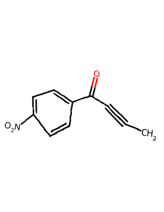 CC#CC(=O)c1ccc([N+](=O)[O-])cc1